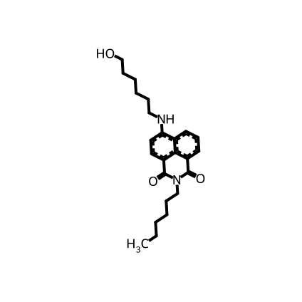 CCCCCCN1C(=O)c2cccc3c(NCCCCCCO)ccc(c23)C1=O